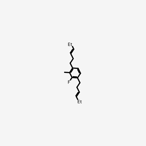 CC/C=C/CCc1ccc(CC/C=C/CC)c(F)c1C